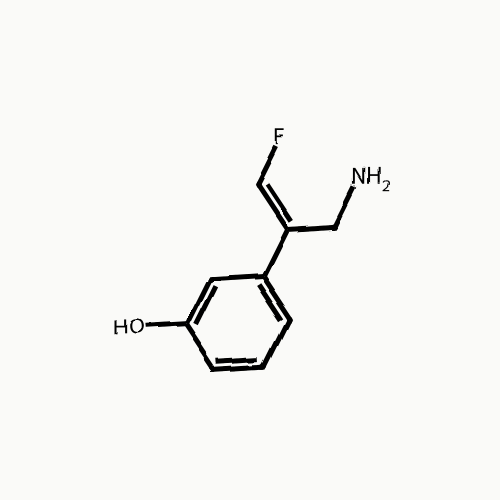 NCC(=CF)c1cccc(O)c1